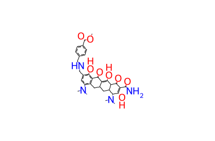 COC(=O)c1ccc(CNCc2cc(N(C)C)c3c(c2O)C(=O)C2=C(O)C4C(=O)C(C(N)=O)=C(O)[C@H](N(C)C)C4CC2C3)cc1